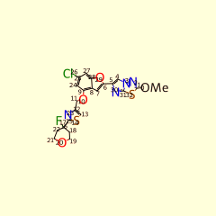 COc1nn2cc(-c3cc4c(OCc5csc(C6(F)CCOCC6)n5)cc(Cl)cc4o3)nc2s1